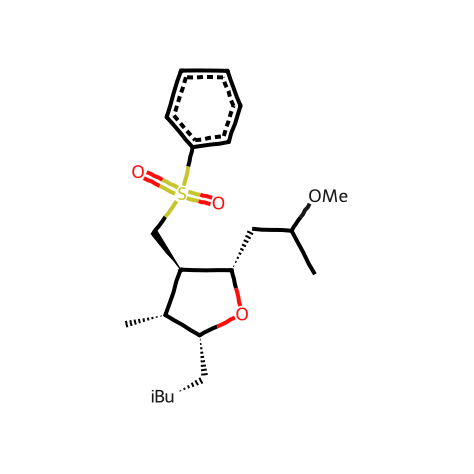 CC[C@@H](C)C[C@H]1O[C@@H](CC(C)OC)[C@H](CS(=O)(=O)c2ccccc2)[C@H]1C